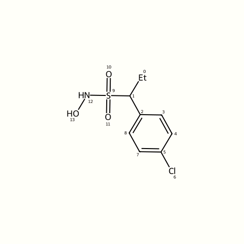 CCC(c1ccc(Cl)cc1)S(=O)(=O)NO